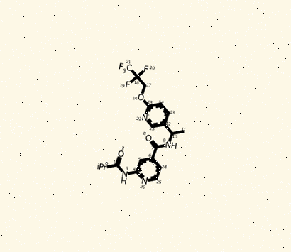 CC(C)C(=O)Nc1cc(C(=O)NC(C)c2ccc(OCC(F)(F)C(F)(F)F)nc2)ccn1